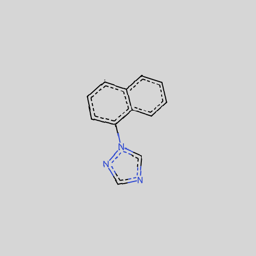 [c]1ccc(-n2cncn2)c2ccccc12